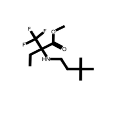 CCC(NCCC(C)(C)C)(C(=O)OC)C(F)(F)F